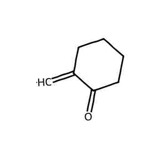 [CH]=C1CCCCC1=O